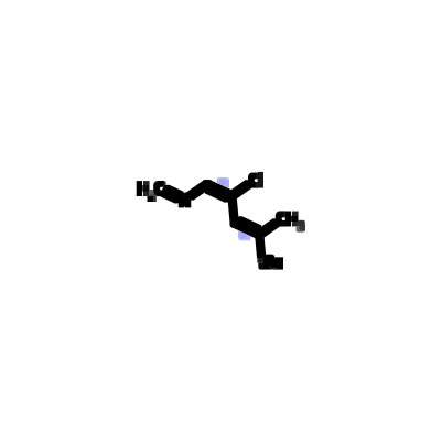 C=N/C=C(Cl)\C=C(/C)C(C)(C)C